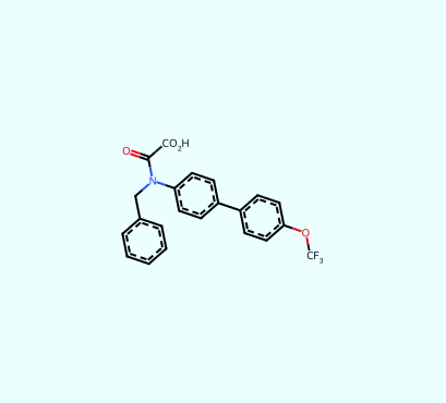 O=C(O)C(=O)N(Cc1ccccc1)c1ccc(-c2ccc(OC(F)(F)F)cc2)cc1